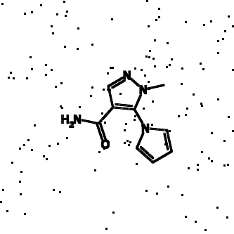 Cn1ncc(C(N)=O)c1-n1cccc1